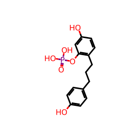 O=P(O)(O)Oc1cc(O)ccc1CCCc1ccc(O)cc1